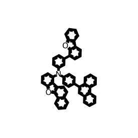 c1cc(-c2cccc3c2oc2ccccc23)cc(N(c2ccc(-c3cc4ccccc4c4ccccc34)cc2)c2cccc3oc4c5ccccc5ccc4c23)c1